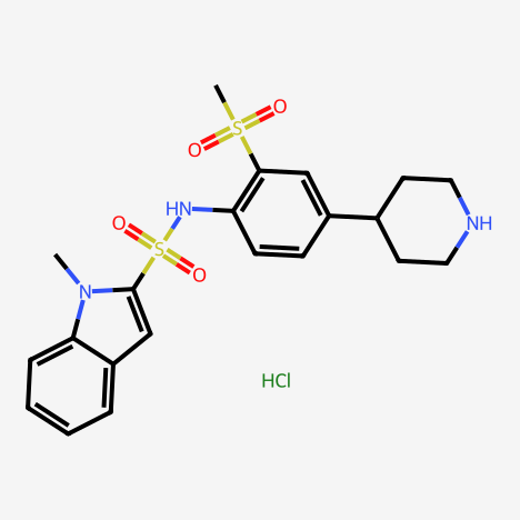 Cl.Cn1c(S(=O)(=O)Nc2ccc(C3CCNCC3)cc2S(C)(=O)=O)cc2ccccc21